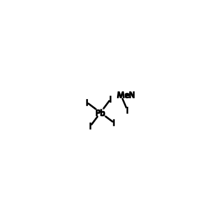 CNI.[I][Pb]([I])([I])[I]